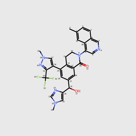 Cc1ccc2cncc(N3CCc4c(cc(C(O)c5cn(C)cn5)cc4-c4cn(C)nc4C(F)(F)F)C3=O)c2c1